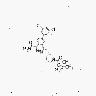 CC(C)(C)OC(=O)N1CCCC(Cc2nnc(C(N)=O)c3sc(-c4cc(Cl)cc(Cl)c4)cc23)C1